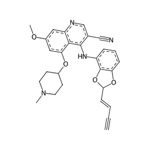 C#CC=CC1Oc2cccc(Nc3c(C#N)cnc4cc(OC)cc(OC5CCN(C)CC5)c34)c2O1